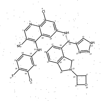 N#Cc1cnc2c(Cl)cc(N[C@H](c3c[nH]nn3)c3cccc4c3CN(C3COC3)C4)cc2c1Nc1ccc(F)c(Cl)c1